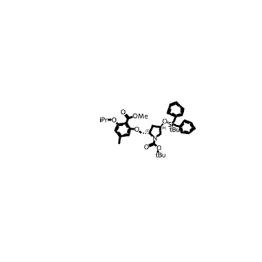 COC(=O)c1c(OC[C@@H]2C[C@@H](O[Si](c3ccccc3)(c3ccccc3)C(C)(C)C)CN2C(=O)OC(C)(C)C)cc(C)cc1OC(C)C